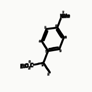 CCOC(=O)C(C)c1ccc(NC)cc1